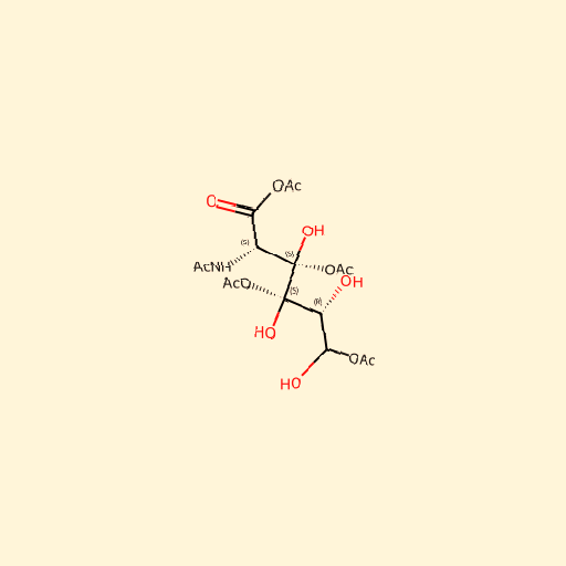 CC(=O)N[C@H](C(=O)OC(C)=O)[C@](O)(OC(C)=O)[C@@](O)(OC(C)=O)[C@H](O)C(O)OC(C)=O